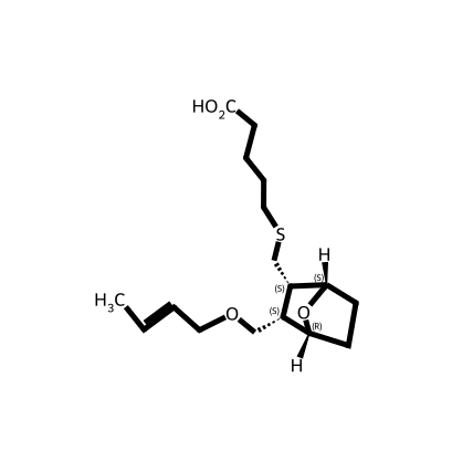 CC=CCOC[C@@H]1[C@H](CSCCCCC(=O)O)[C@@H]2CC[C@H]1O2